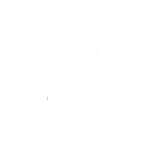 CC#CCC1CCOCC1